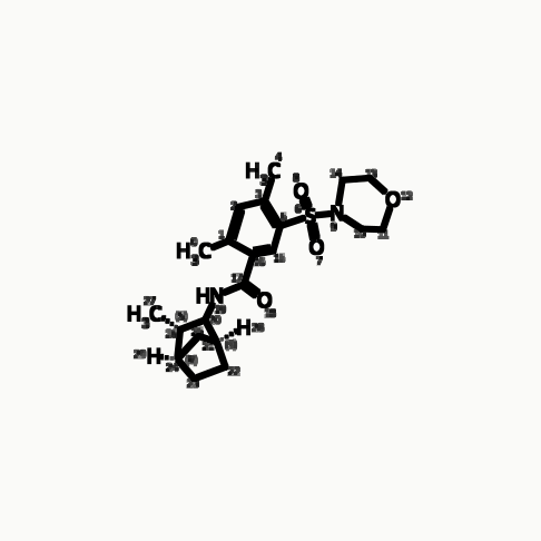 Cc1cc(C)c(S(=O)(=O)N2CCOCC2)cc1C(=O)NC1[C@H]2CC[C@H](C2)[C@@H]1C